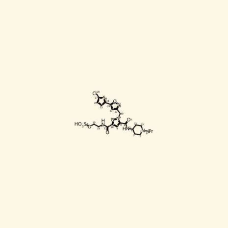 CC(C)N1CCC(NC(=O)c2cc(C(=O)NCCOS(=O)(=O)O)nn2Cc2cc(-c3ccc(Cl)s3)on2)CC1